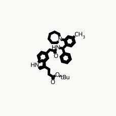 Cc1ccc(C(NC(=O)Cc2ccc3[nH]cc(CCC(=O)OC(C)(C)C)c3c2)c2ccccc2)c(N2CCCCCC2)c1